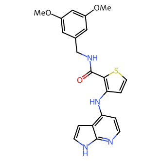 COc1cc(CNC(=O)c2sccc2Nc2ccnc3[nH]ccc23)cc(OC)c1